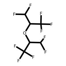 FC(F)C(OC(C(F)F)C(F)(F)F)C(F)(F)F